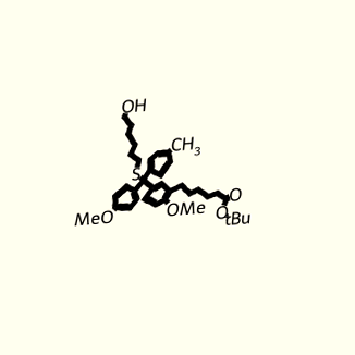 COc1ccc(C(SCCCCCCO)(c2ccc(C)cc2)c2ccc(OC)c(CCCCCC(=O)OC(C)(C)C)c2)cc1